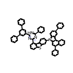 N=C(/N=C(\N=C\c1cc(-c2ccccc2)cc(-c2ccccc2)c1)c1cccc2sc3cc(-n4c5ccc(-c6ccccc6)cc5c5c6ccccc6c(-c6ccccc6)cc54)ccc3c12)c1ccccc1